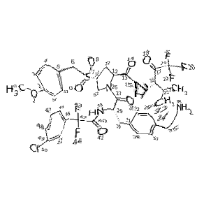 COc1ccc(CS(=O)(=O)[C@@H]2C[C@@H](C(=O)N[C@H](C(=O)C(F)(F)F)C(C)C)N(C(=O)[C@H](Cc3ccc(CN)cc3)NC(=O)C(F)(F)c3cccc(Cl)c3)C2)cc1